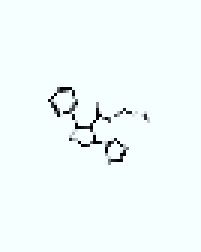 CCOC(=O)C1=C(c2ccccc2)OCC1c1cccs1